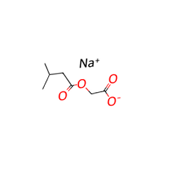 CC(C)CC(=O)OCC(=O)[O-].[Na+]